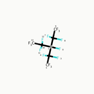 F[B-](C(F)(F)C(F)(F)F)(C(F)(F)C(F)(F)F)C(F)(F)C(F)(F)F